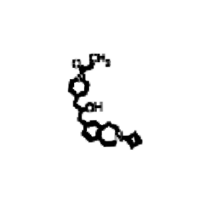 CCC(=O)N1CCC(CC(O)Cc2ccc3c(c2)CCN(C2=CC=C2)CC3)CC1